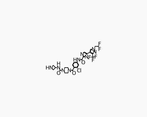 Cn1c(-c2cn(CC(F)F)nc2C(F)(F)F)cnc1C(=O)Nc1ccc(C(=O)N2CCN(C(=O)NC3CNC3)CC2)c(Cl)c1